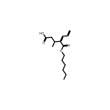 C=CC=C(C(=O)OCCCCCC)C(C)CC(=O)O